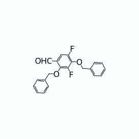 O=Cc1cc(F)c(OCc2ccccc2)c(F)c1OCc1ccccc1